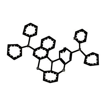 C1=CC2C(N(c3ccccc3)c3ccccn3)=CC3=C(B4c5c(cccc5Oc5cc(N(c6ccccc6)c6ccccc6)c6ccccc6c54)O3)C2C=C1